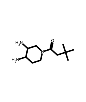 CC(C)(C)CC(=O)N1CCC(N)C(N)C1